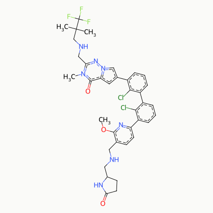 COc1nc(-c2cccc(-c3cccc(-c4cc5c(=O)n(C)c(CNCC(C)(C)C(F)(F)F)nn5c4)c3Cl)c2Cl)ccc1CNCC1CCC(=O)N1